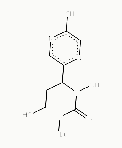 Cc1cnc(C(CCO)N(O)C(=O)OC(C)(C)C)cn1